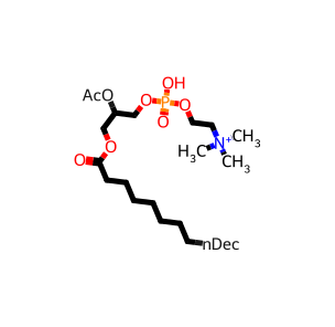 CCCCCCCCCCCCCCCCCC(=O)OCC(COP(=O)(O)OCC[N+](C)(C)C)OC(C)=O